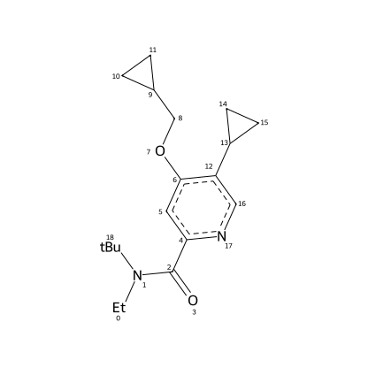 CCN(C(=O)c1cc(OCC2CC2)c(C2CC2)cn1)C(C)(C)C